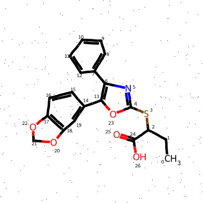 CCC(Sc1nc(-c2ccccc2)c(-c2ccc3c(c2)OCO3)o1)C(=O)O